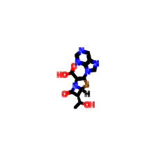 CC(O)[C@H]1C(=O)N2C(C(=O)O)=C(n3cnc4cncnc43)S[C@H]12